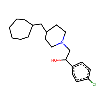 OC(CN1CCC(CC2CCCCCC2)CC1)c1ccc(Cl)cc1